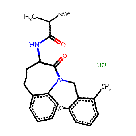 CNC(C)C(=O)NC1CCc2ccccc2N(Cc2c(C)cccc2C)C1=O.Cl